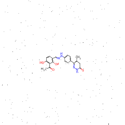 CC(=O)c1c(O)ccc(C=NNc2ccc(C3=NNC(=O)CC3C)cc2)c1O